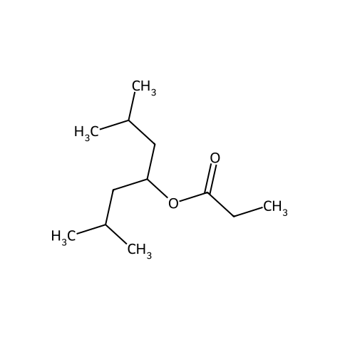 CCC(=O)OC(CC(C)C)CC(C)C